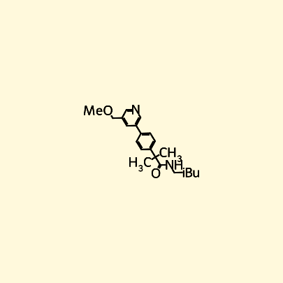 CCC(C)CNC(=O)C(C)(C)c1ccc(-c2cncc(COC)c2)cc1